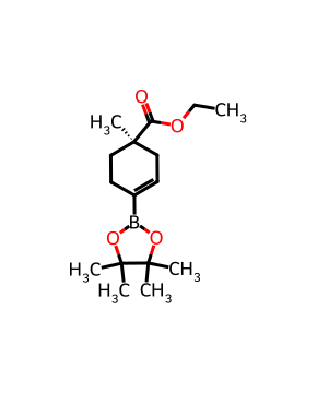 CCOC(=O)[C@@]1(C)CC=C(B2OC(C)(C)C(C)(C)O2)CC1